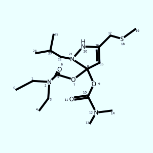 CCN(CC)C(=O)OC1(OC(=O)N(C)C)C=C(CSC)NN1CC(C)C